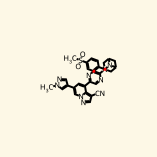 Cn1cc(-c2cc(-c3cnc(N4CC5CC(C4)N5Cc4ccc(S(C)(=O)=O)cc4)cn3)c3c(C#N)cnn3c2)cn1